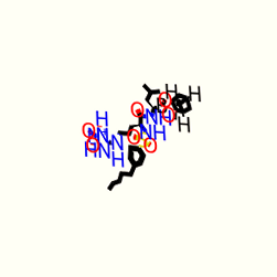 CCCCCc1ccc(S(=O)(=O)N[C@@H](CCCNC(=N)N[N+](=O)[O-])C(=O)N[C@@H](CC(C)C)B2O[C@@H]3C[C@@H]4C[C@@H](C4(C)C)[C@]3(C)O2)cc1